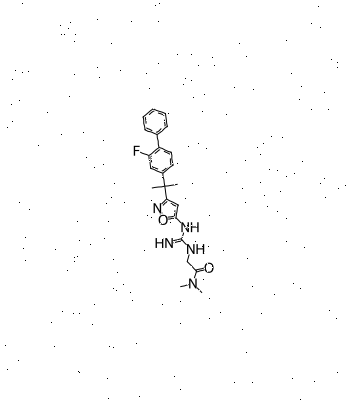 CN(C)C(=O)CNC(=N)Nc1cc(C(C)(C)c2ccc(-c3ccccc3)c(F)c2)no1